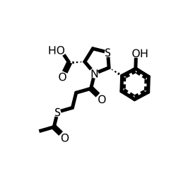 CC(=O)SCCC(=O)N1[C@@H](c2ccccc2O)SC[C@H]1C(=O)O